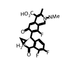 CNn1cc2c(F)c([C@H](c3ccc(F)c(F)c3C(N)=O)C3CC3)c(=O)cc-2c(C(=O)O)c1C